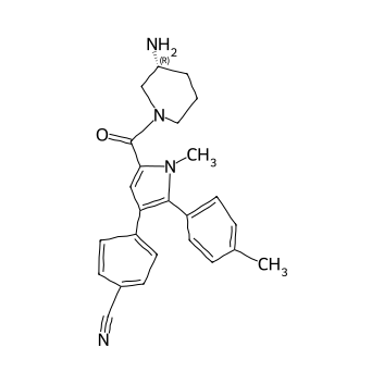 Cc1ccc(-c2c(-c3ccc(C#N)cc3)cc(C(=O)N3CCC[C@@H](N)C3)n2C)cc1